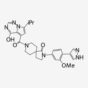 COc1cc(N2CCC3(CCN(C(=O)c4cc(C(C)C)n5ncnc(O)c45)CC3)C2=O)ccc1-c1cn[nH]c1